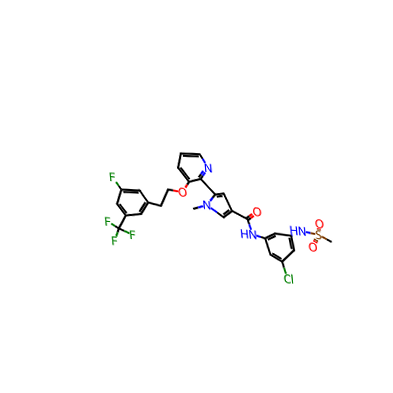 Cn1cc(C(=O)Nc2cc(Cl)cc(NS(C)(=O)=O)c2)cc1-c1ncccc1OCCc1cc(F)cc(C(F)(F)F)c1